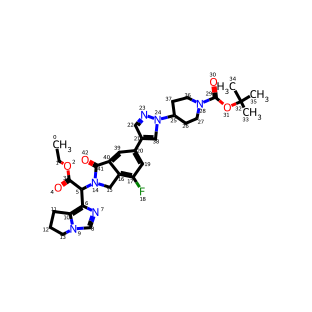 CCOC(=O)C(c1ncn2c1CCC2)N1Cc2c(F)cc(-c3cnn(C4CCN(C(=O)OC(C)(C)C)CC4)c3)cc2C1=O